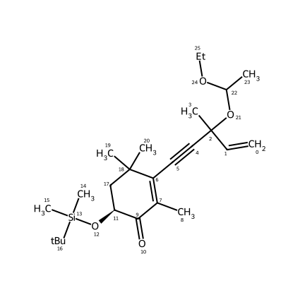 C=CC(C)(C#CC1=C(C)C(=O)[C@@H](O[Si](C)(C)C(C)(C)C)CC1(C)C)OC(C)OCC